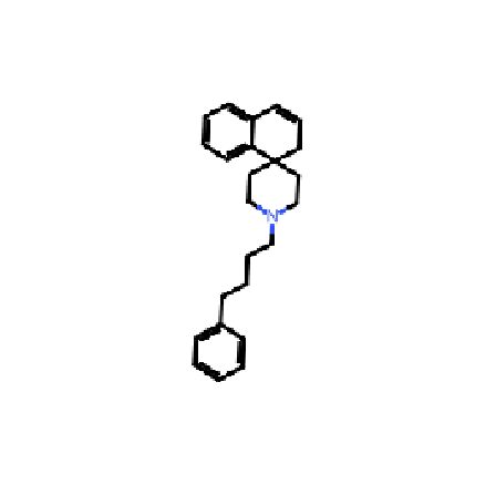 C1=Cc2ccccc2C2(C1)CCN(CCCCc1ccccc1)CC2